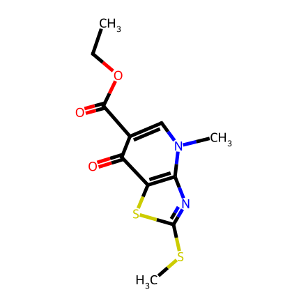 CCOC(=O)c1cn(C)c2nc(SC)sc2c1=O